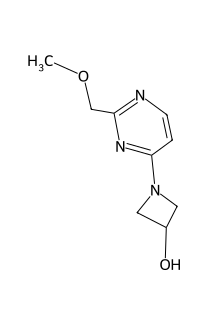 COCc1nccc(N2CC(O)C2)n1